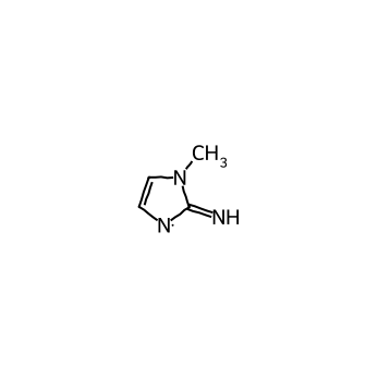 CN1C=C[N]C1=N